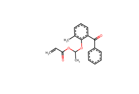 C=CC(=O)OC(C)Oc1c(C)cccc1C(=O)c1ccccc1